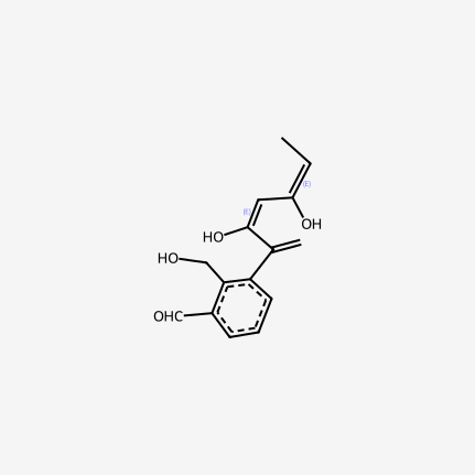 C=C(/C(O)=C\C(O)=C/C)c1cccc(C=O)c1CO